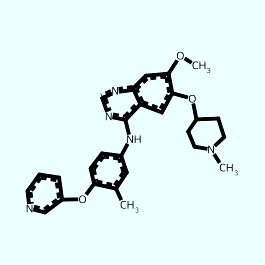 COc1cc2ncnc(Nc3ccc(Oc4cccnc4)c(C)c3)c2cc1OC1CCN(C)CC1